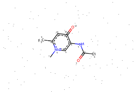 CCC(=O)Nc1cn(C)c(C(F)(F)F)cc1=O